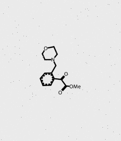 COC(=O)C(=O)c1ccccc1CN1CCOCC1